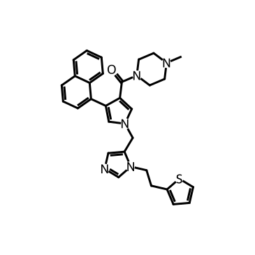 CN1CCN(C(=O)c2cn(Cc3cncn3CCc3cccs3)cc2-c2cccc3ccccc23)CC1